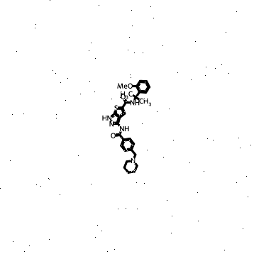 COc1ccccc1C(C)(C)NC(=O)c1cc2c(NC(=O)c3ccc(CN4CCCCC4)cc3)n[nH]c2s1